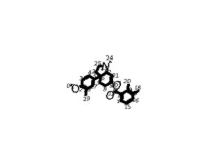 COc1ccc(C23CCC(OC(=O)c4cccc(C)c4C)=CC2N(C)CC3)cc1C